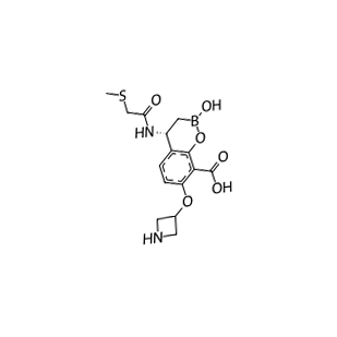 CSCC(=O)N[C@@H]1CB(O)Oc2c1ccc(OC1CNC1)c2C(=O)O